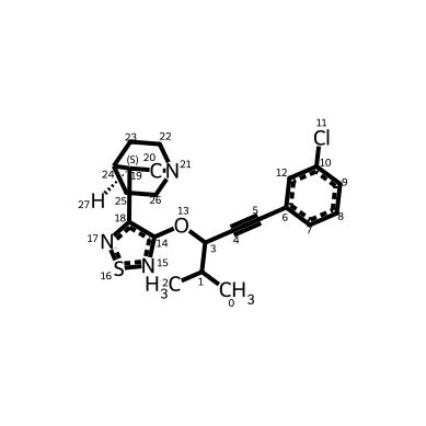 CC(C)C(C#Cc1cccc(Cl)c1)Oc1nsnc1[C@@H]1CN2CCC1CC2